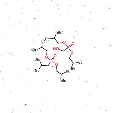 CCCCC(CC)COP(=O)(CC(CC)CCCC)OCC(CC)CCCC.CCCCC(CC)COP(=O)(CO)OCC(CC)CCCC